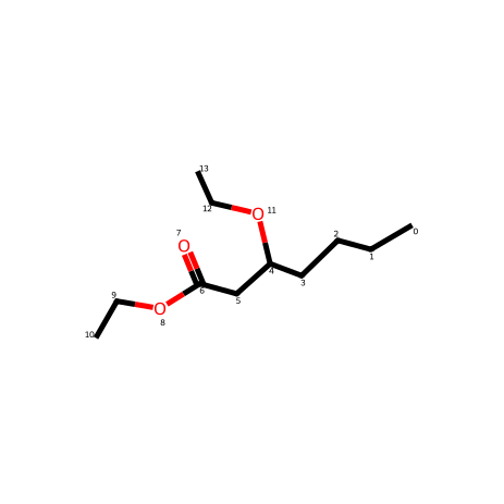 CCCCC(CC(=O)OCC)OCC